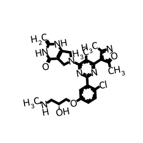 C=C1NC(=O)C2=C(CN(c3nc(-c4cc(OC[C@H](O)CNC)ccc4Cl)nc(-c4c(C)noc4C)c3C)C2)N1